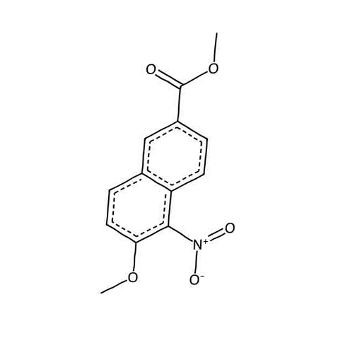 COC(=O)c1ccc2c([N+](=O)[O-])c(OC)ccc2c1